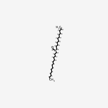 CCCCCCCCCCCCCCCN(C=O)CCCCCCCCCCCC